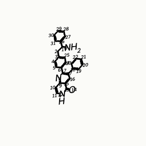 NC(Cc1ccc(-c2nc3cc[nH]c(=O)c3cc2-c2ccccc2)cc1)c1ccccc1